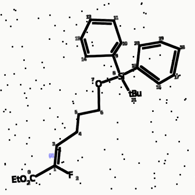 CCOC(=O)/C(F)=C/CCCO[Si](c1ccccc1)(c1ccccc1)C(C)(C)C